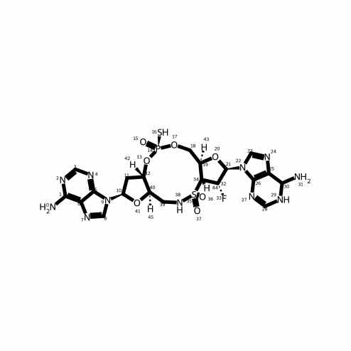 Nc1ncnc2c1ncn2[C@H]1C[C@@H]2O[P@@](=O)(S)OC[C@H]3O[C@@H](n4cnc5c4N=CNC5N)[C@H](F)[C@@H]3S(=O)(=O)NC[C@H]2O1